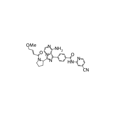 COC/C=C/C(=O)N1CCCC1c1nc(-c2ccc(C(=O)Nc3cc(C#N)ccn3)cc2)c2c(N)nccn12